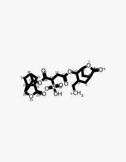 CCC1CC2CC(OC2=O)C1OC(=O)CC(C(=O)OC1C2CC3C(=O)OC1C3C2)S(=O)(=O)O